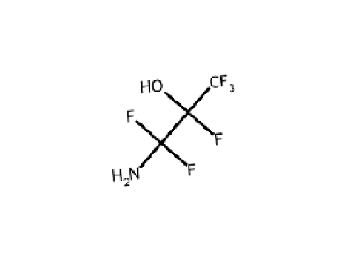 NC(F)(F)C(O)(F)C(F)(F)F